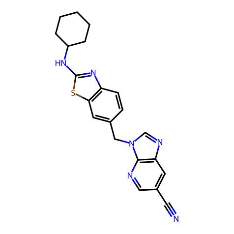 N#Cc1cnc2c(c1)ncn2Cc1ccc2nc(NC3CCCCC3)sc2c1